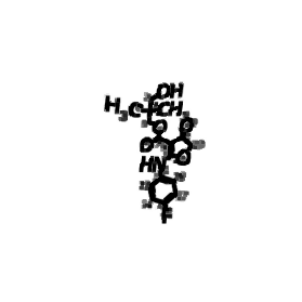 CC(C)(CO)COC(=O)C1=C(Nc2ccc(F)cc2)OCC1=O